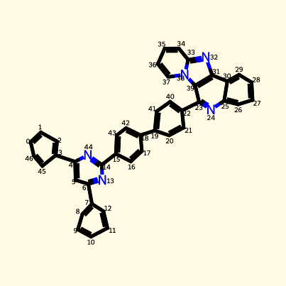 c1ccc(-c2cc(-c3ccccc3)nc(-c3ccc(-c4ccc(-c5nc6ccccc6c6nc7ccccn7c56)cc4)cc3)n2)cc1